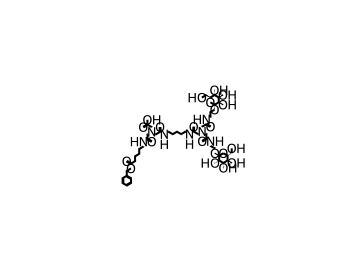 O=C(O)CN(CC(=O)NCCCCCNC(=O)CN(CC(=O)NCCO[C@H]1O[C@H](CO)[C@@H](O)[C@H](O)[C@@H]1O)CC(=O)NCCO[C@@H]1O[C@@H](CO)[C@H](O)[C@@H](O)[C@H]1O)CC(=O)NCCCCCC(=O)OCc1ccccc1